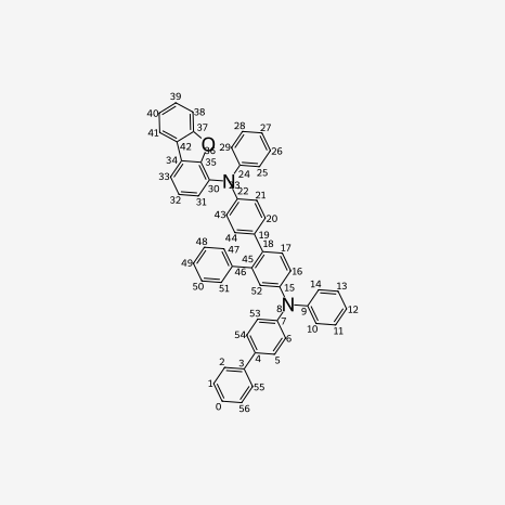 c1ccc(-c2ccc(N(c3ccccc3)c3ccc(-c4ccc(N(c5ccccc5)c5cccc6c5oc5ccccc56)cc4)c(-c4ccccc4)c3)cc2)cc1